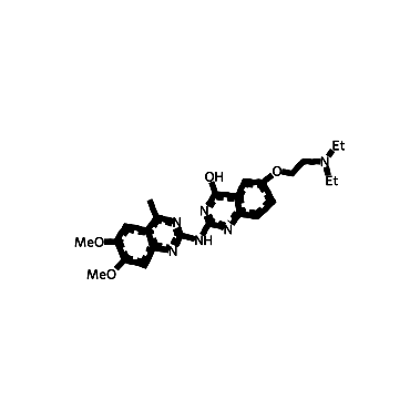 CCN(CC)CCOc1ccc2nc(Nc3nc(C)c4cc(OC)c(OC)cc4n3)nc(O)c2c1